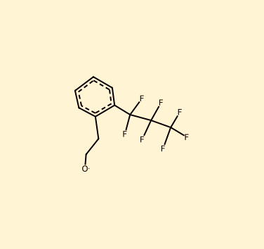 [O]CCc1ccccc1C(F)(F)C(F)(F)C(F)(F)F